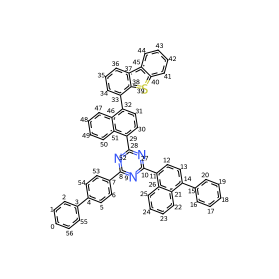 c1ccc(-c2ccc(-c3nc(-c4ccc(-c5ccccc5)c5ccccc45)nc(-c4ccc(-c5cccc6c5sc5ccccc56)c5ccccc45)n3)cc2)cc1